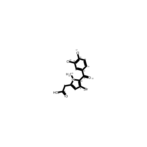 Cn1c(CC(=O)O)cc(Br)c1C(=O)c1ccc(Cl)c(Cl)c1